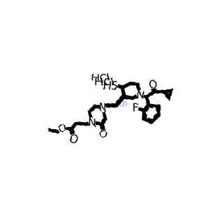 CCOC(=O)CCN1CCN(C/C=C2/CN(C(C(=O)C3CC3)c3ccccc3F)CCC2S)CC1=O.Cl.Cl